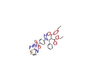 CCOC(=O)C(C(=O)OCC)C(Nc1ccc(S(=O)(=O)Nc2nccs2)cc1)c1ccccc1